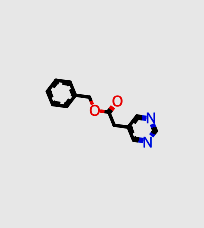 O=C(Cc1cncnc1)OCc1ccccc1